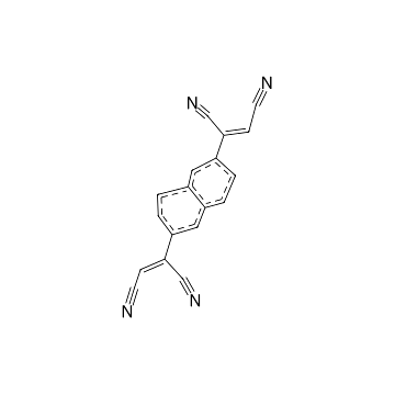 N#C/C=C(\C#N)c1ccc2cc(/C(C#N)=C/C#N)ccc2c1